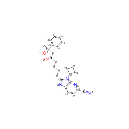 CC(O)(CC(=O)CCCCc1nc2ccc(C#N)nc2n1C1CCC1)c1ccccc1